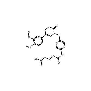 CCOc1cc(C2=NN(Cc3ccc(NC(=O)OCCN(CC)CC)cc3)C(=O)CC2)ccc1OC